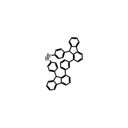 Brc1ccc(C2c3ccccc3-c3cccc(-c4cccc(-c5cccc6c5C(c5ccc(Br)cc5)c5ccccc5-6)c4)c32)cc1